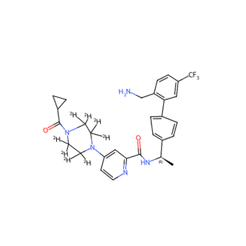 [2H]C1([2H])N(C(=O)C2CC2)C([2H])([2H])C([2H])([2H])N(c2ccnc(C(=O)N[C@H](C)c3ccc(-c4cc(C(F)(F)F)ccc4CN)cc3)c2)C1([2H])[2H]